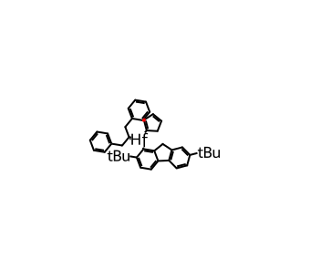 CC(C)(C)c1ccc2c(c1)Cc1c-2ccc(C(C)(C)C)[c]1[Hf]([C]1=CC=CC1)=[C](Cc1ccccc1)Cc1ccccc1